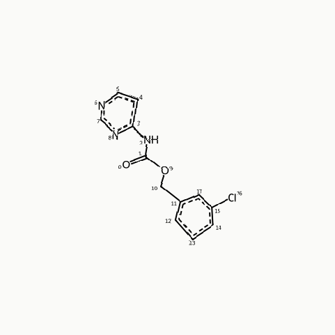 O=C(Nc1ccncn1)OCc1cccc(Cl)c1